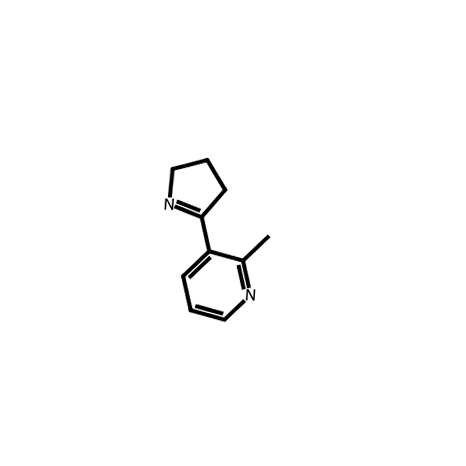 Cc1ncccc1C1=NCCC1